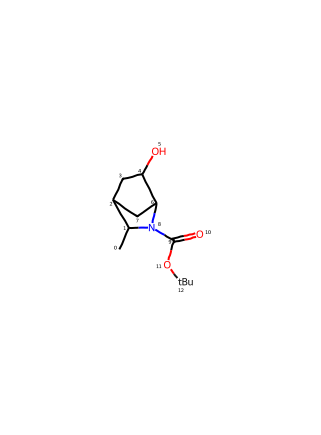 CC1C2CC(O)C(C2)N1C(=O)OC(C)(C)C